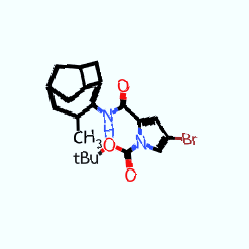 CC1CC2CC3CC(=C1NC(=O)c1cc(Br)cn1C(=O)OC(C)(C)C)C3C2